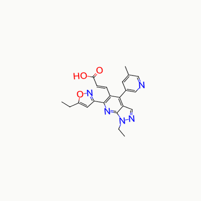 CCc1cc(-c2nc3c(cnn3CC)c(-c3cncc(C)c3)c2C=CC(=O)O)no1